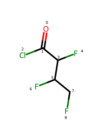 O=C(Cl)C(F)C(F)CF